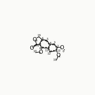 COc1cc2cc3c(c(OC)c2cc1OC)C(=O)OC3